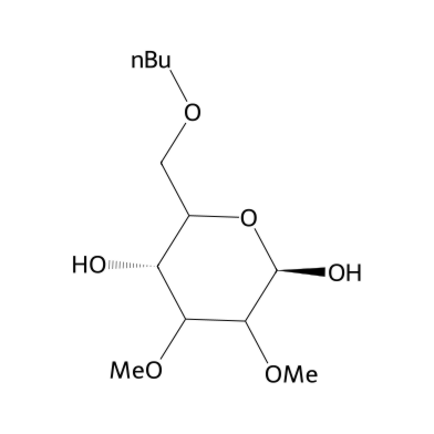 CCCCOCC1O[C@@H](O)C(OC)C(OC)[C@@H]1O